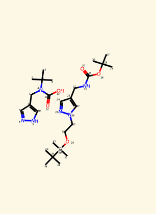 CC(C)(C)N(Cc1cn[nH]c1)C(=O)O.CC(C)(C)OC(=O)NCc1cnn(CCO[Si](C)(C)C(C)(C)C)c1